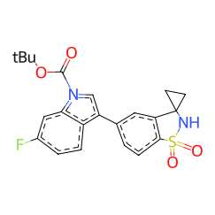 CC(C)(C)OC(=O)n1cc(-c2ccc3c(c2)C2(CC2)NS3(=O)=O)c2ccc(F)cc21